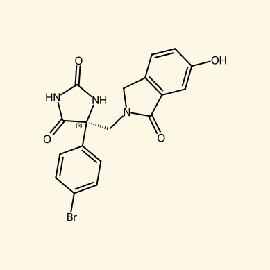 O=C1NC(=O)[C@](CN2Cc3ccc(O)cc3C2=O)(c2ccc(Br)cc2)N1